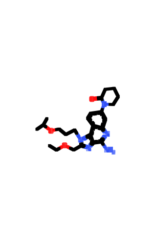 CCOCc1nc2c(N)nc3cc(N4CCCCC4=O)ccc3c2n1CCCOC(C)C